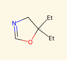 CCC1(CC)CN=CO1